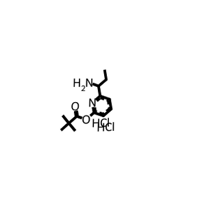 CCC(N)c1cccc(OC(=O)C(C)(C)C)n1.Cl.Cl